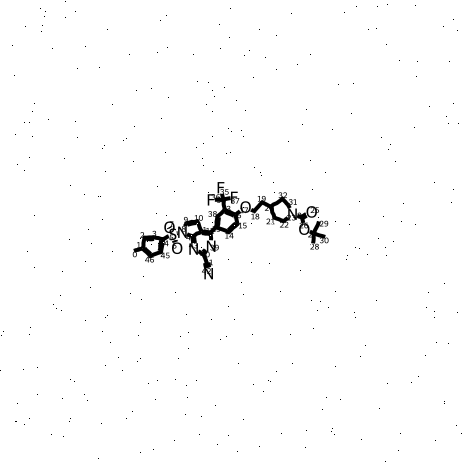 Cc1ccc(S(=O)(=O)n2ccc3c(-c4ccc(OCCC5CCN(C(=O)OC(C)(C)C)CC5)c(C(F)(F)F)c4)nc(C#N)nc32)cc1